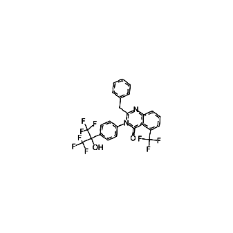 O=c1c2c(C(F)(F)F)cccc2nc(Cc2ccccc2)n1-c1ccc(C(O)(C(F)(F)F)C(F)(F)F)cc1